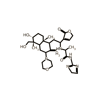 C=C1C(N2CCOCC2)CC2[C@](C)(CC[C@@H](O)[C@@]2(C)CO)C1CC(NC(C)C(=O)NC1=NCC=N1)C1=CCOC1=O